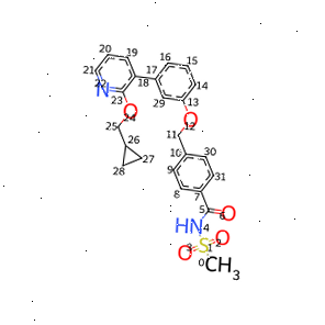 CS(=O)(=O)NC(=O)c1ccc(COc2cccc(-c3cccnc3OCC3CC3)c2)cc1